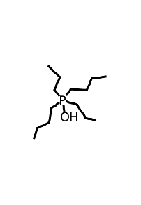 CCCCP(O)(CCC)(CCC)CCCC